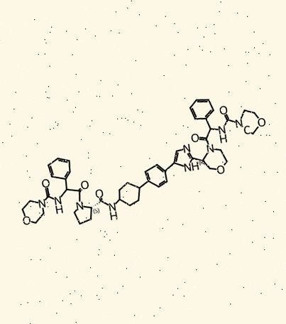 O=C(NC1CCC(c2ccc(-c3cnc([C@@H]4COCCN4C(=O)C(NC(=O)N4CCOCC4)c4ccccc4)[nH]3)cc2)CC1)[C@@H]1CCCN1C(=O)C(NC(=O)N1CCOCC1)c1ccccc1